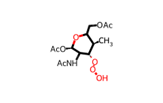 CC(=O)NC1[C@@H](OC(C)=O)OC(COC(C)=O)[C@@H](C)[C@@H]1OOO